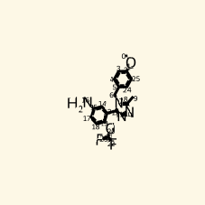 COc1ccc(Cn2c(C)nnc2-c2cc(N)ccc2OC(F)F)cc1